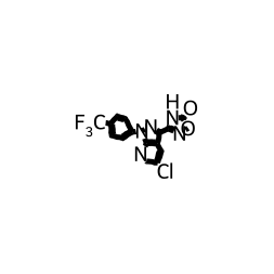 O=c1[nH]c(-c2nn(-c3ccc(C(F)(F)F)cc3)c3ncc(Cl)cc23)no1